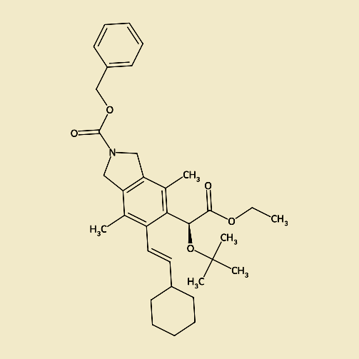 CCOC(=O)[C@@H](OC(C)(C)C)c1c(C)c2c(c(C)c1/C=C/C1CCCCC1)CN(C(=O)OCc1ccccc1)C2